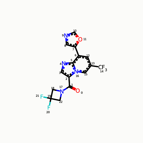 O=C(c1cnc2c(-c3cnco3)cc(C(F)(F)F)cn12)N1CC(F)(F)C1